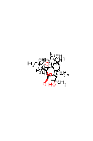 C[C@H]1[C@@H](O[Si](C)(C)C(C)(C)C)[C@H]2[C@H]3[C@@H](C[C@@H](C)[C@]2(C)C2=C[C@@](C)(O)C[C@]24OC(=O)O[C@H]14)C3(C)C